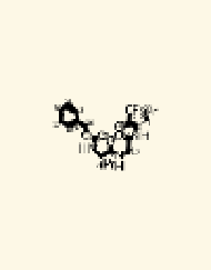 CC(C)C[C@H](NC(=O)[C@H](C)NC(=O)[C@@H](NC(=O)OCc1ccccc1)C(C)C)C(=O)C(F)(F)F